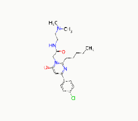 CCCCCc1nc(-c2ccc(Cl)cc2)cc(=O)n1CC(=O)NCCN(C)C